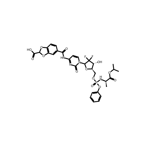 CC(C)OC(=O)[C@@H](C)NP(=O)(OC[C@H]1OC(n2ccc(NC(=O)c3ccc4c(c3)OC(C(=O)O)O4)nc2=O)C(F)(F)[C@@H]1O)Oc1ccccc1